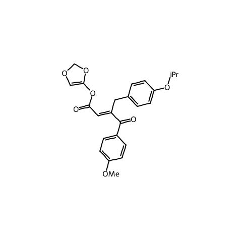 COc1ccc(C(=O)C(=CC(=O)OC2=COCO2)Cc2ccc(OC(C)C)cc2)cc1